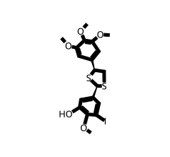 COc1cc([C@H]2CS[C@@H](c3cc(O)c(OC)c(I)c3)S2)cc(OC)c1OC